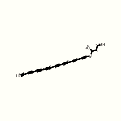 C#CC#CC#CC#CC#CC#CC#CC#COC(O)CCS